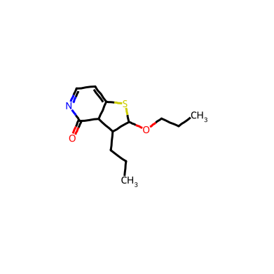 CCCOC1SC2=CC=NC(=O)C2C1CCC